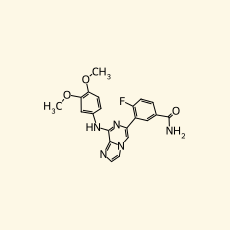 COc1ccc(Nc2nc(-c3cc(C(N)=O)ccc3F)cn3ccnc23)cc1OC